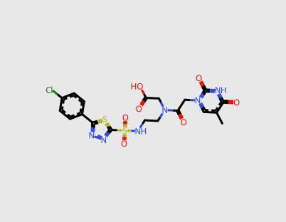 Cc1cn(CC(=O)N(CCNS(=O)(=O)c2nnc(-c3ccc(Cl)cc3)s2)CC(=O)O)c(=O)[nH]c1=O